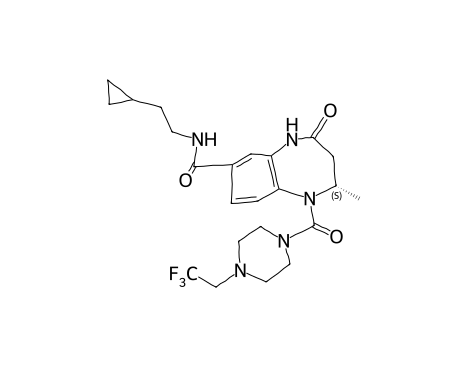 C[C@H]1CC(=O)Nc2cc(C(=O)NCCC3CC3)ccc2N1C(=O)N1CCN(CC(F)(F)F)CC1